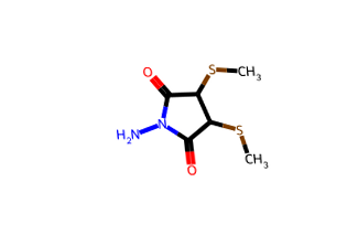 CSC1C(=O)N(N)C(=O)C1SC